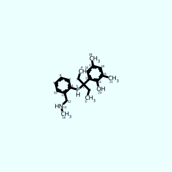 CCC(CC)(Pc1ccccc1CNC)c1cc(C)cc(C)c1O